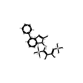 CC(=C[Si](C)(C)C)C(C)=[C]([Zr][CH]1C(C)=Cc2c(-c3ccccc3)cccc21)[Si](C)(C)C